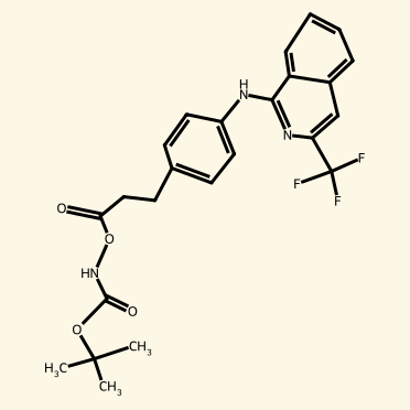 CC(C)(C)OC(=O)NOC(=O)CCc1ccc(Nc2nc(C(F)(F)F)cc3ccccc23)cc1